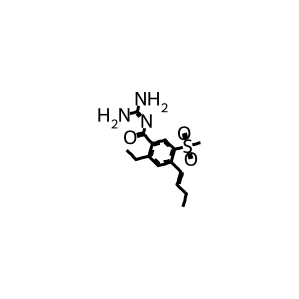 CCC=Cc1cc(CC)c(C(=O)N=C(N)N)cc1S(C)(=O)=O